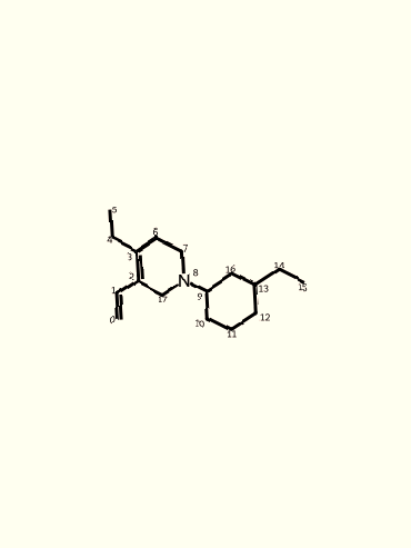 C=CC1=C(CC)CCN(C2CCCC(CC)C2)C1